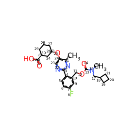 Cc1nc(-c2ccc(F)cc2COC(=O)N(C)CC2CCC2)ncc1O[C@H]1CCC[C@H](C(=O)O)C1